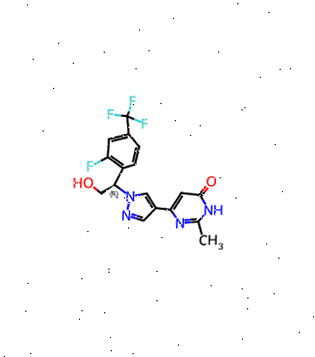 Cc1nc(-c2cnn([C@@H](CO)c3ccc(C(F)(F)F)cc3F)c2)cc(=O)[nH]1